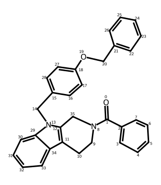 O=C(c1ccccc1)N1CCc2c(n(Cc3ccc(OCc4ccccc4)cc3)c3ccccc23)C1